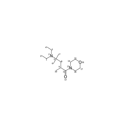 CCN(CC)C(C)(C)CC(C)C(=O)N1CCOCC1